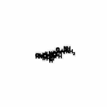 Cl.N=C(N)CCNC(=O)c1ccc2[nH]c(-c3ccc(NC=O)cc3)nc2c1